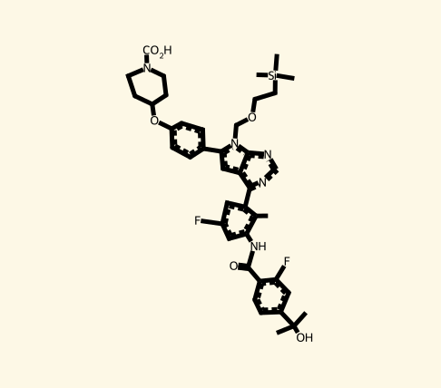 Cc1c(NC(=O)c2ccc(C(C)(C)O)cc2F)cc(F)cc1-c1ncnc2c1cc(-c1ccc(OC3CCN(C(=O)O)CC3)cc1)n2COCC[Si](C)(C)C